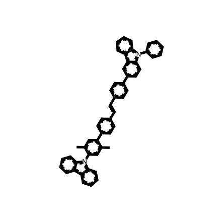 Cc1cc(-n2c3ccccc3c3ccccc32)c(C)cc1-c1ccc(/C=C/c2ccc(-c3ccc4c(c3)c3ccccc3n4-c3ccccc3)cc2)cc1